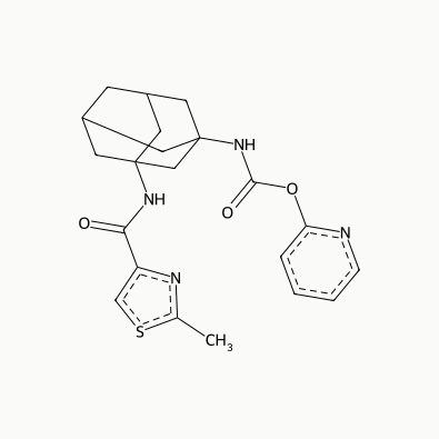 Cc1nc(C(=O)NC23CC4CC(CC(NC(=O)Oc5ccccn5)(C4)C2)C3)cs1